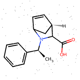 C[C@@H](c1ccccc1)N1C2C=C[C@H](C2)C1C(=O)O